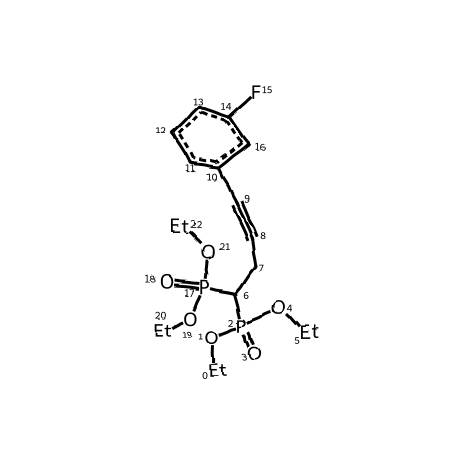 CCOP(=O)(OCC)C(CC#Cc1cccc(F)c1)P(=O)(OCC)OCC